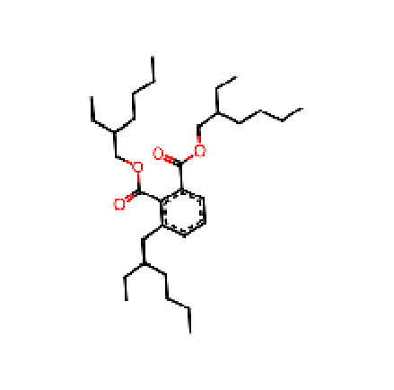 CCCCC(CC)COC(=O)c1cccc(CC(CC)CCCC)c1C(=O)OCC(CC)CCCC